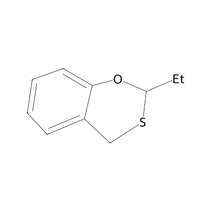 CCC1Oc2ccccc2CS1